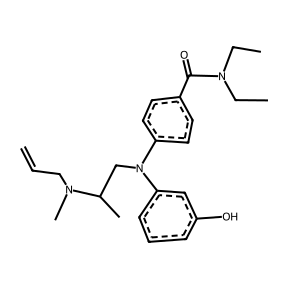 C=CCN(C)C(C)CN(c1ccc(C(=O)N(CC)CC)cc1)c1cccc(O)c1